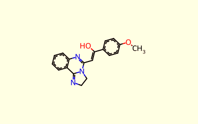 COc1ccc(/C(O)=C/C2=Nc3ccccc3C3=NCCN23)cc1